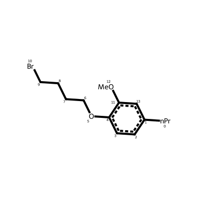 C[CH]Cc1ccc(OCCCCBr)c(OC)c1